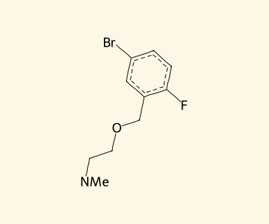 CNCCOCc1cc(Br)ccc1F